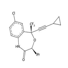 CC(C)[C@@H]1O[C@](C#CC2CC2)(C(F)(F)F)c2cc(Cl)ccc2NC1=O